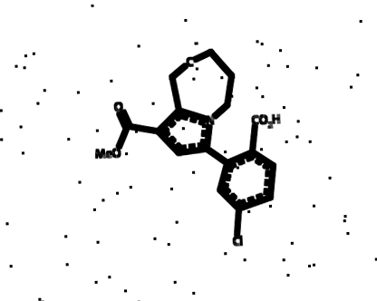 COC(=O)c1cc(-c2cc(Cl)ccc2C(=O)O)n2c1CCCCC2